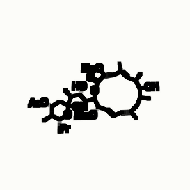 CO/C1=C\C(C)=C\[C@@H](C)[C@@H](O)[C@@H](C)C/C(C)=C/C=C/[C@H](OC)[C@@H]([C@@H](C)[C@@H](O)[C@H](C)[C@@]2(O)C[C@@H](OC(C)=O)[C@H](C)[C@@H](C(C)C)O2)OC1=O